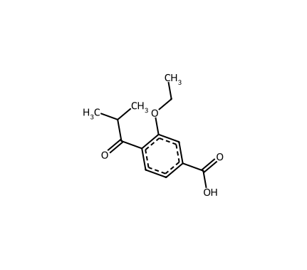 CCOc1cc(C(=O)O)ccc1C(=O)C(C)C